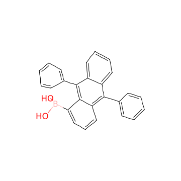 OB(O)c1cccc2c(-c3ccccc3)c3ccccc3c(-c3ccccc3)c12